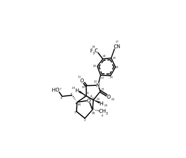 C[C@]12CC[C@](CCO)(O1)[C@@H]1C(=O)N(c3ccc(C#N)c(C(F)(F)F)c3)C(=O)[C@@H]12